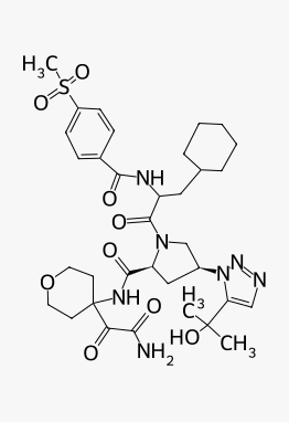 CC(C)(O)c1cnnn1[C@H]1C[C@@H](C(=O)NC2(C(=O)C(N)=O)CCOCC2)N(C(=O)C(CC2CCCCC2)NC(=O)c2ccc(S(C)(=O)=O)cc2)C1